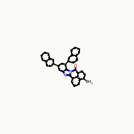 Bc1ccc2c(=O)n3c(nc4cc(-c5ccc6ccccc6c5)cc(-c5ccc6ccccc6c5)c43)c3cccc1c23